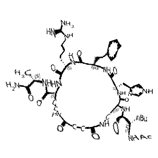 CCCC[C@H](NC(C)=O)C(=O)N[C@H]1CNC(=O)CCC(=O)NCC[C@@H](C(=O)N[C@@H](C)C(N)=O)NC(=O)[C@H](CCCNC(=N)N)NC(=O)[C@@H](Cc2ccccc2)NC(=O)[C@H](Cc2c[nH]cn2)NC1=O